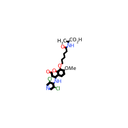 COc1ccc2c(Nc3c(Cl)cncc3Cl)cc(=O)oc2c1OCCCCCC(=O)NC(C)C(=O)O